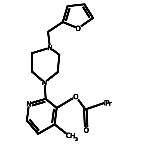 Cc1ccnc(N2CCN(Cc3ccco3)CC2)c1OC(=O)C(C)C